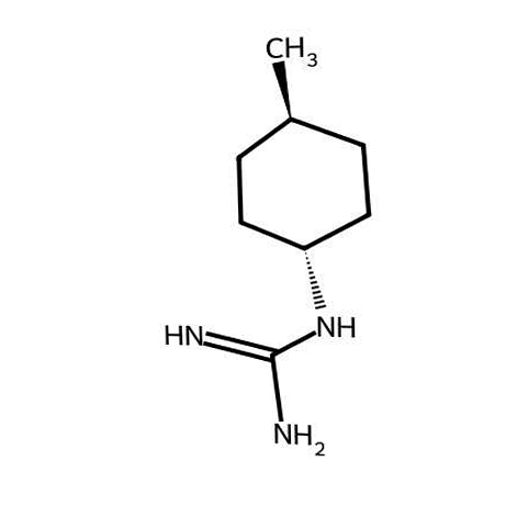 C[C@H]1CC[C@H](NC(=N)N)CC1